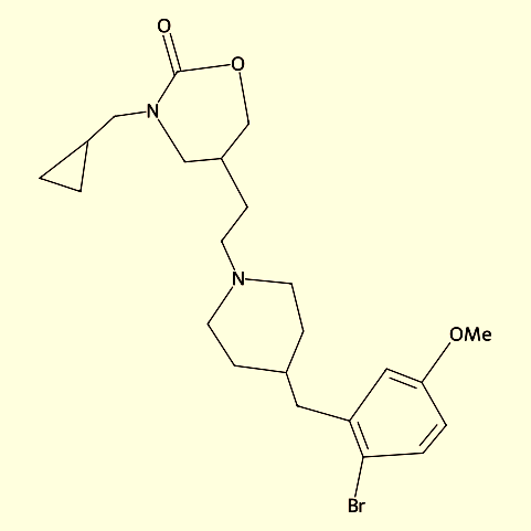 COc1ccc(Br)c(CC2CCN(CCC3COC(=O)N(CC4CC4)C3)CC2)c1